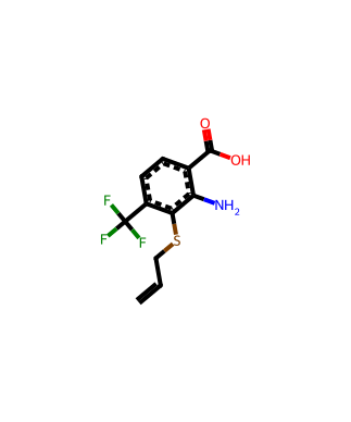 C=CCSc1c(C(F)(F)F)ccc(C(=O)O)c1N